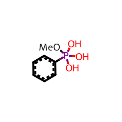 COP(O)(O)(O)c1ccccc1